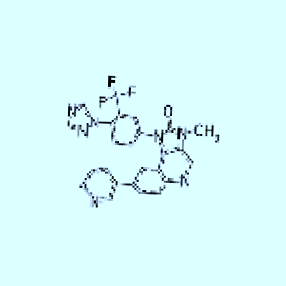 Cn1c(=O)n(-c2ccc(-n3cncn3)c(C(F)(F)F)c2)c2c3cc(-c4cccnc4)ccc3ncc21